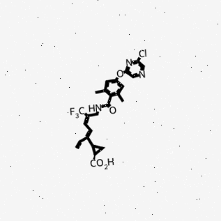 C=C/C(=C\C=C(/CNC(=O)c1c(C)cc(Oc2cncc(Cl)n2)cc1C)C(F)(F)F)C1C[C@H]1C(=O)O